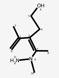 C=C(C)/C(CCO)=C(/C)N(C)N